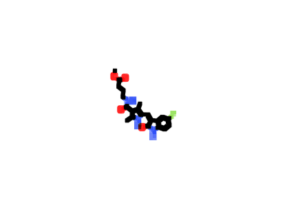 COC(=O)CCCNC(=O)c1c(C)[nH]c(C=C2C(=O)Nc3ccc(F)cc32)c1C